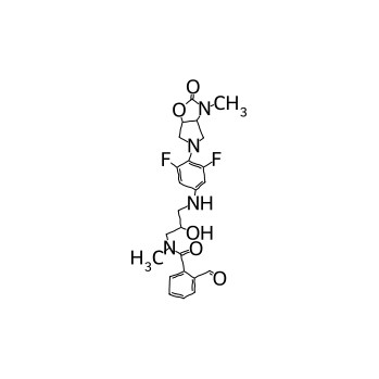 CN(CC(O)CNc1cc(F)c(N2CC3OC(=O)N(C)C3C2)c(F)c1)C(=O)c1ccccc1C=O